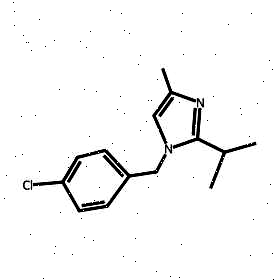 Cc1cn(Cc2ccc(Cl)cc2)c(C(C)C)n1